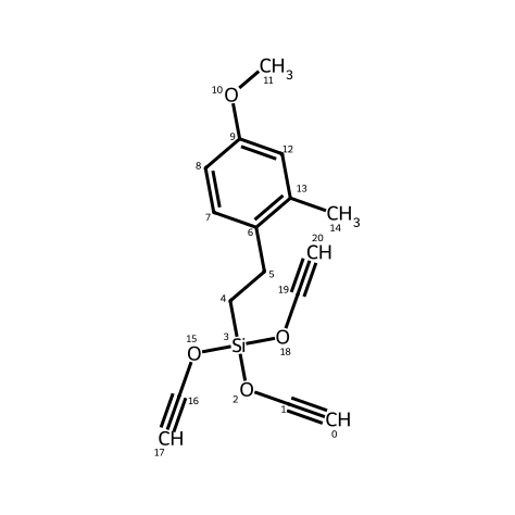 C#CO[Si](CCc1ccc(OC)cc1C)(OC#C)OC#C